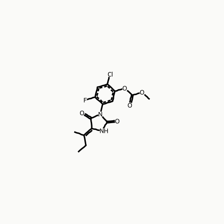 CCC(C)=C1NC(=O)N(c2cc(OC(=O)OC)c(Cl)cc2F)C1=O